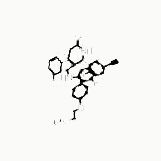 C#Cc1ccc(Oc2ccc(OCCO)cc2)c([C@H]2NC(=O)C[C@@H](C3C=CC=C(Cl)C3)[C@]23C(=O)Nc2cc(Cl)ccc23)c1